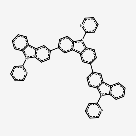 c1ccc(-n2c3ccccc3c3cc(-c4ccc5c(c4)c4cc(-c6ccc7c(c6)c6ccccc6n7-c6ccccn6)ccc4n5-c4ccccn4)ccc32)nc1